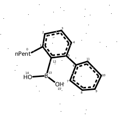 CCCCCc1cccc(-c2ccccc2)c1B(O)O